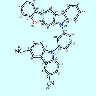 N#Cc1ccc2c(c1)c1cc(C#N)ccc1n2-c1cccc(-n2c3ccccc3c3cc4c(cc32)oc2ccccc24)c1